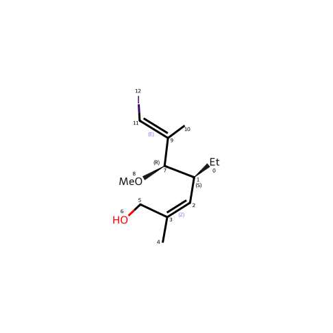 CC[C@@H](/C=C(/C)CO)[C@@H](OC)/C(C)=C/I